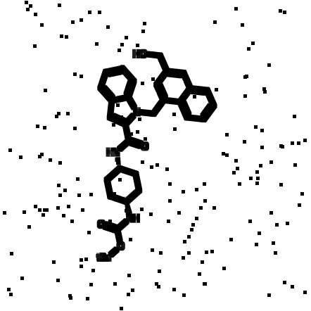 CC(C)(C)OC(=O)N[C@H]1CC[C@H](NC(=O)c2cc3cc[c]cc3n2Cc2cc(CO)cc3ccccc23)CC1